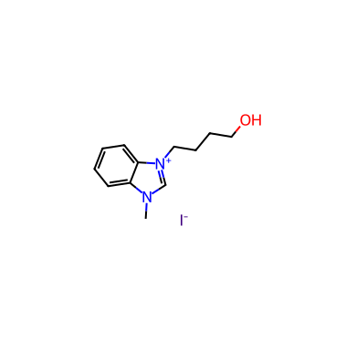 Cn1c[n+](CCCCO)c2ccccc21.[I-]